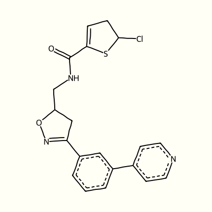 O=C(NCC1CC(c2cccc(-c3ccncc3)c2)=NO1)C1=CCC(Cl)S1